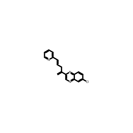 C=C(CC=Cc1ccccn1)c1cnc2cc(Cl)ccc2n1